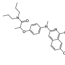 CCCN(CCC)C(=O)C(C)Oc1ccc(N(C)c2cc3ccc(Cl)cc3c(Cl)n2)cc1